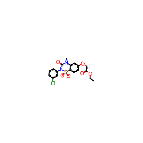 CCOC(=O)[C@@H](C)Oc1ccc2c(c1)N(C)C(=O)N(c1cccc(Cl)c1)S2(=O)=O